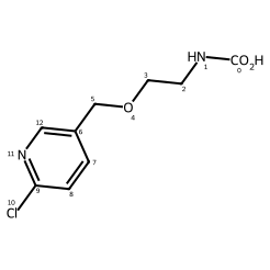 O=C(O)NCCOCc1ccc(Cl)nc1